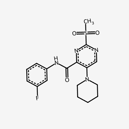 CS(=O)(=O)c1ncc(N2CCCCC2)c(C(=O)Nc2cccc(F)c2)n1